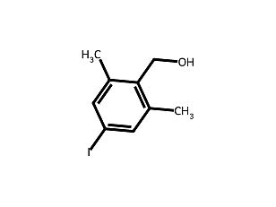 Cc1cc(I)cc(C)c1CO